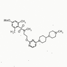 COc1cc(C)c(S(=O)(=O)N(C)CCOc2nccc(N3CCC(N4CCN(C)CC4)CC3)n2)c(C)c1